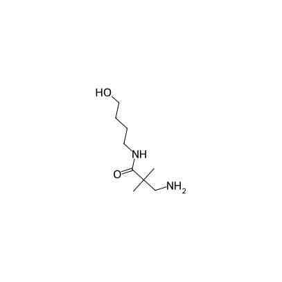 CC(C)(CN)C(=O)NCCCCO